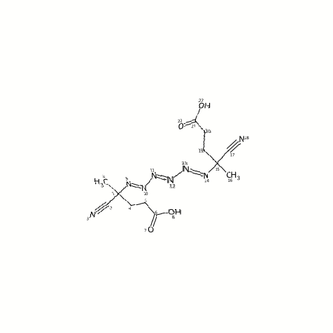 CC(C#N)(CCC(=O)O)N=NN=NN=NC(C)(C#N)CCC(=O)O